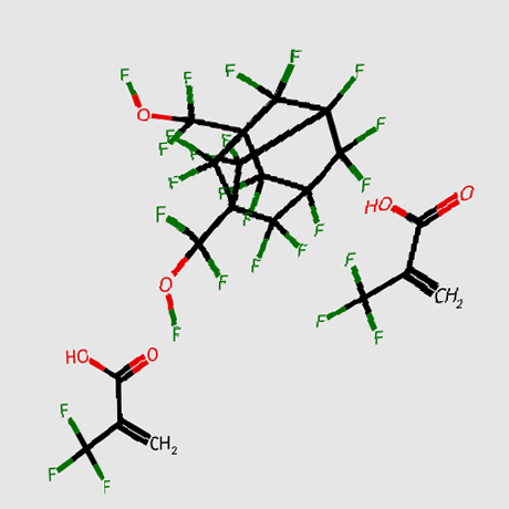 C=C(C(=O)O)C(F)(F)F.C=C(C(=O)O)C(F)(F)F.FOC(F)(F)C12C(F)(F)C3(F)C(F)(F)C(F)(C1(F)F)C(F)(F)C(C(F)(F)OF)(C3(F)F)C2(F)F